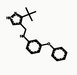 CC(C)(C)c1n[nH]cc1CNc1cccc(Oc2ccccc2)c1